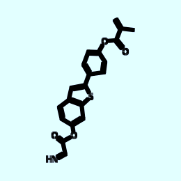 C=C(C)C(=O)Oc1ccc(-c2cc3ccc(OC(=O)C=N)cc3s2)cc1